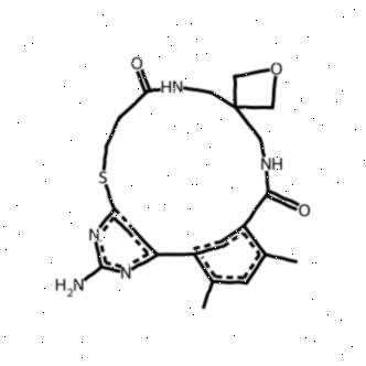 Cc1cc(C)c2cc1C(=O)NCC1(CNC(=O)CCSc3cc-2nc(N)n3)COC1